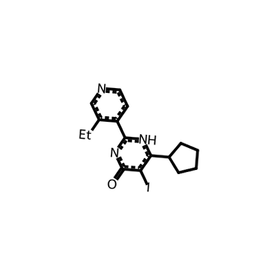 CCc1cnccc1-c1nc(=O)c(I)c(C2CCCC2)[nH]1